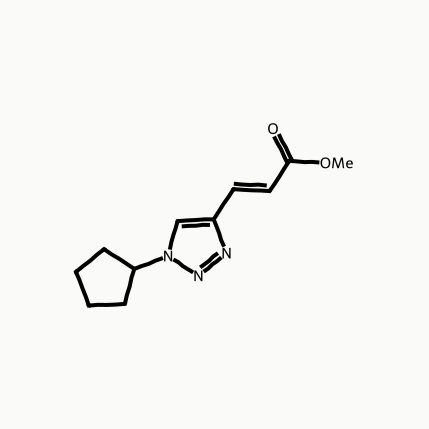 COC(=O)C=Cc1cn(C2CCCC2)nn1